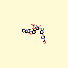 CC(=O)OCc1c(-c2cc(Nc3ccc(N4CCN(C5COC5)CC4)cn3)c(=O)n(C)c2)ccc(F)c1N1CCn2c(cc3c2CCCC3)C1=O